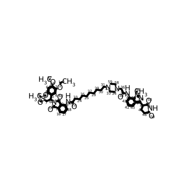 CCOc1cc(C(CS(C)(=O)=O)N2C(=O)c3cccc(NC(=O)CCCCCCCCCN4CCN(CC(=O)Nc5cccc6c(C7CCC(=O)NC7=O)nn(C)c56)CC4)c3C2=O)ccc1OC